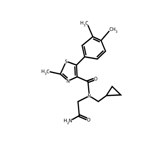 Cc1nc(C(=O)N(CC(N)=O)CC2CC2)c(-c2ccc(C)c(C)c2)s1